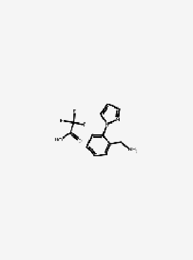 NCc1ccccc1-n1cccn1.O=C(O)C(F)(F)F